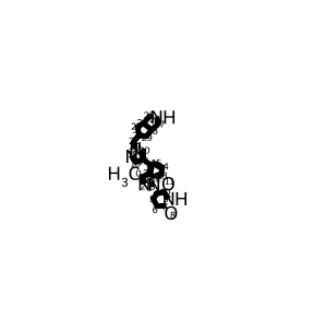 Cc1nn(C2CCC(=O)NC2=O)c2cccc(-c3cnn(CC4CC5CNCC5C4)c3)c12